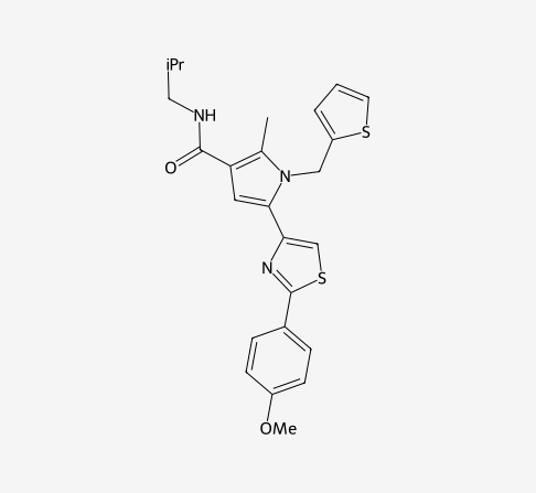 COc1ccc(-c2nc(-c3cc(C(=O)NCC(C)C)c(C)n3Cc3cccs3)cs2)cc1